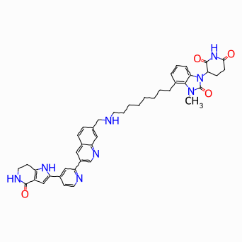 Cn1c(=O)n(C2CCC(=O)NC2=O)c2cccc(CCCCCCCCNCc3ccc4cc(-c5cc(-c6cc7c([nH]6)CCNC7=O)ccn5)cnc4c3)c21